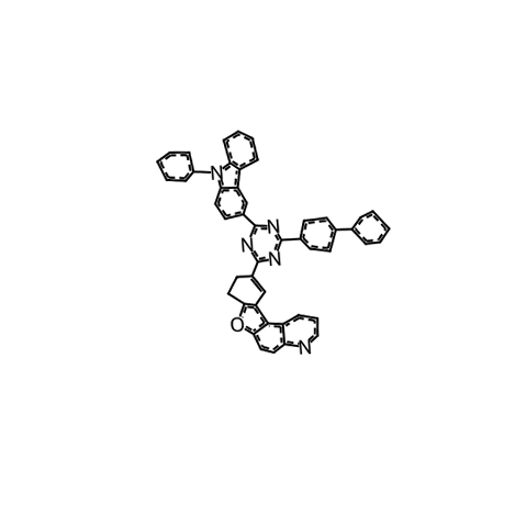 C1=C(c2nc(-c3ccc(-c4ccccc4)cc3)nc(-c3ccc4c(c3)c3ccccc3n4-c3ccccc3)n2)CCc2oc3ccc4ncccc4c3c21